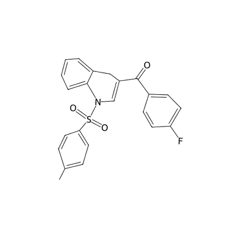 Cc1ccc(S(=O)(=O)N2C=C(C(=O)c3ccc(F)cc3)Cc3ccccc32)cc1